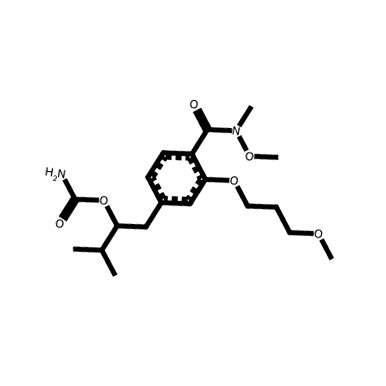 COCCCOc1cc(CC(OC(N)=O)C(C)C)ccc1C(=O)N(C)OC